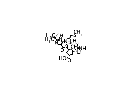 CSCCCNc1nc(C(C)(C)C)ncc1C(=O)N(CC(C)C)[C@H]1C[C@@H](N2CCNC2=O)CN(C(=O)O)C1